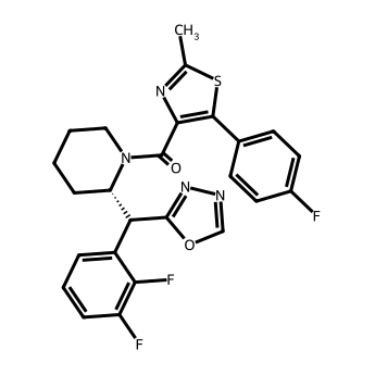 Cc1nc(C(=O)N2CCCC[C@H]2C(c2nnco2)c2cccc(F)c2F)c(-c2ccc(F)cc2)s1